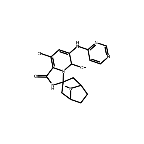 CN1C2CCC1CC1(C2)NC(=O)C2=C(Cl)C=C(Nc3ccncn3)C(O)N21